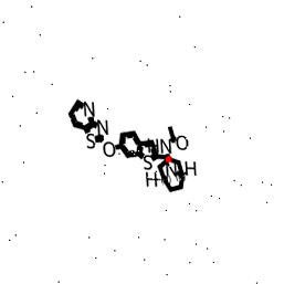 CC(=O)NC1C[C@H]2CC[C@@H](C1)N2Cc1cc2ccc(Oc3nc4ncccc4s3)cc2s1